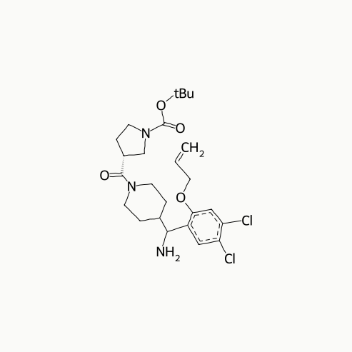 C=CCOc1cc(Cl)c(Cl)cc1C(N)C1CCN(C(=O)[C@@H]2CCN(C(=O)OC(C)(C)C)C2)CC1